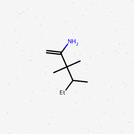 C=C(N)C(C)(C)C(C)CC